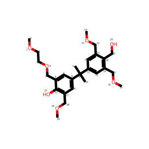 COCCOCc1cc(C(C)(C)c2cc(COC)c(CO)c(COC)c2)cc(COC)c1O